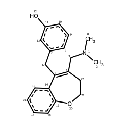 CN(C)CC1=C(Cc2cccc(O)c2)c2ccccc2OCC1